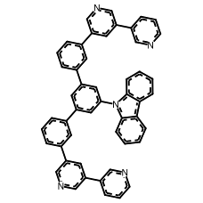 c1cncc(-c2cncc(-c3cccc(-c4cc(-c5cccc(-c6cncc(-c7cccnc7)c6)c5)cc(-n5c6ccccc6c6ccccc65)c4)c3)c2)c1